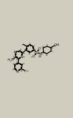 Cc1ccc(S(=O)(=O)NC2CCC(O)CC2)cc1-c1cnc(N)c(-c2ccnc(F)c2)n1